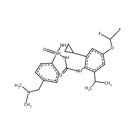 CC(C)c1cc(OC(F)F)cc(C2CC2)c1NC(=O)N[SH](N)(=O)c1ccc(CN(C)C)cc1